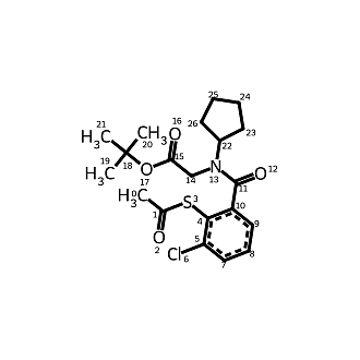 CC(=O)Sc1c(Cl)cccc1C(=O)N(CC(=O)OC(C)(C)C)C1CCCC1